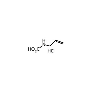 C=CCNC(=O)O.Cl